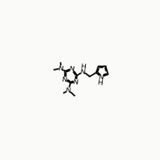 CN(C)c1nc(NCc2ccc[nH]2)nc(N(C)C)n1